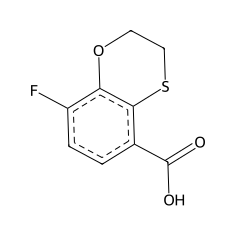 O=C(O)c1ccc(F)c2c1SCCO2